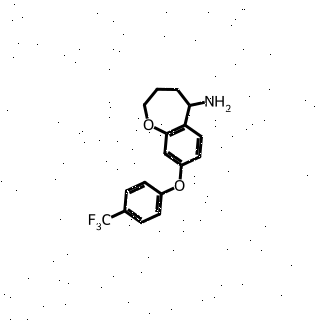 NC1CCCOc2cc(Oc3ccc(C(F)(F)F)cc3)ccc21